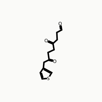 O=CCCC(=O)CCC(=O)Cc1ccsc1